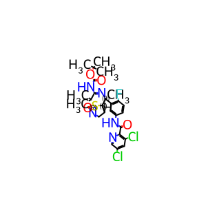 CC(C)(C)OC(=O)NC1=N[C@](C)(c2cc(NC(=O)c3ncc(Cl)cc3Cl)ccc2F)[C@@H]2CCN=[S@]2(=O)C1(C)C